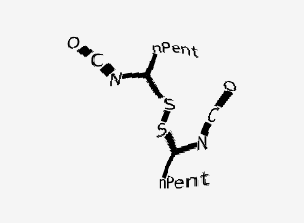 CCCCCC(N=C=O)SSC(CCCCC)N=C=O